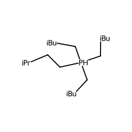 CCC(C)C[PH](CCC(C)C)(CC(C)CC)CC(C)CC